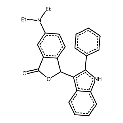 CCN(CC)c1ccc2c(c1)C(=O)OC2c1c(-c2ccccc2)[nH]c2ccccc12